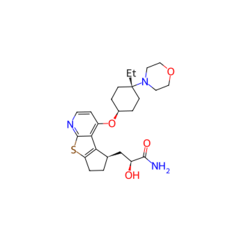 CC[C@]1(N2CCOCC2)CC[C@H](Oc2ccnc3sc4c(c23)[C@@H](C[C@H](O)C(N)=O)CC4)CC1